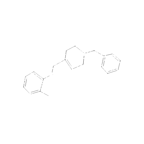 Ic1ccccc1OCC1=CCN(Cc2ccccc2)CC1